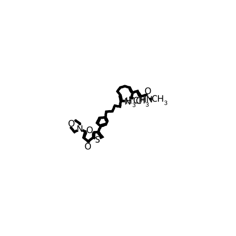 CNC(=O)/C(C)=C/C1=C/CCC/C=C(CCCCc2ccc(-c3csc4c(=O)cc(N5CCOCC5)oc34)cc2)/N=C\1C